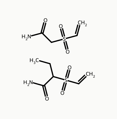 C=CS(=O)(=O)C(CC)C(N)=O.C=CS(=O)(=O)CC(N)=O